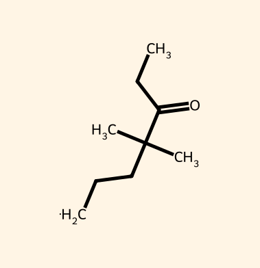 [CH2]CCC(C)(C)C(=O)CC